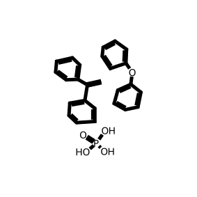 C=C(c1ccccc1)c1ccccc1.O=P(O)(O)O.c1ccc(Oc2ccccc2)cc1